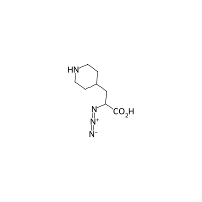 [N-]=[N+]=NC(CC1CCNCC1)C(=O)O